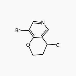 ClC1CCOc2c(Br)cncc21